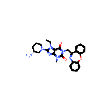 CCn1c(N2CCC[C@@H](N)C2)nc2c1c(=O)n(CC1=Nc3ccccc3Oc3ccccc31)c(=O)n2C